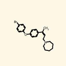 CC(=CCN1CCCCCC1)c1ccc(Oc2ccc(Br)cc2)cc1